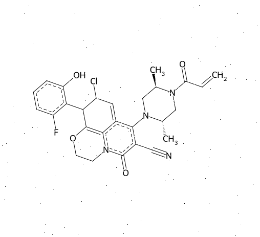 C=CC(=O)N1C[C@H](C)N(c2c(C#N)c(=O)n3c4c2=CC(Cl)C(c2c(O)cccc2F)C=4OCC3)C[C@H]1C